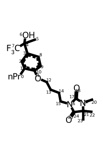 CCCc1cc(C(C)(O)C(F)(F)F)ccc1OCCCCN1C(=O)N(C)C(C)(C)C1=O